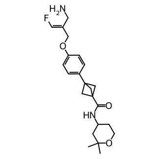 CC1(C)CC(NC(=O)C23CC(c4ccc(OCC(=CF)CN)cc4)(C2)C3)CCO1